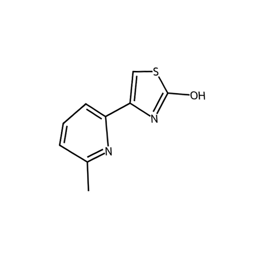 Cc1cccc(-c2csc(O)n2)n1